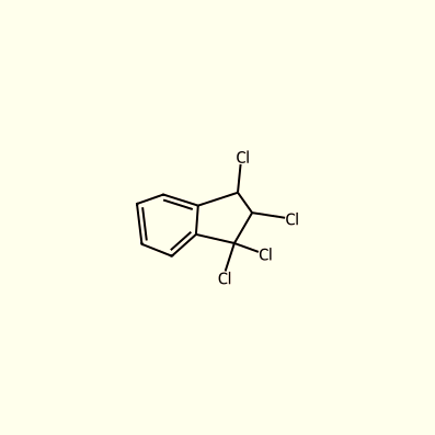 ClC1c2ccccc2C(Cl)(Cl)C1Cl